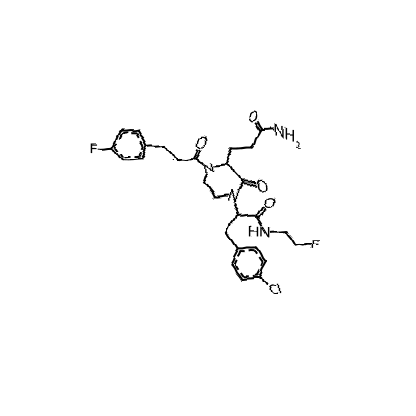 NC(=O)CCC1C(=O)N(C(Cc2ccc(Cl)cc2)C(=O)NCCF)CCN1C(=O)[CH]Cc1ccc(F)cc1